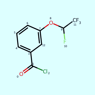 O=C(Cl)c1cccc(OC(F)C(F)(F)F)c1